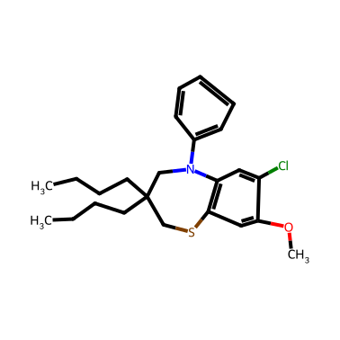 CCCCC1(CCCC)CSc2cc(OC)c(Cl)cc2N(c2ccccc2)C1